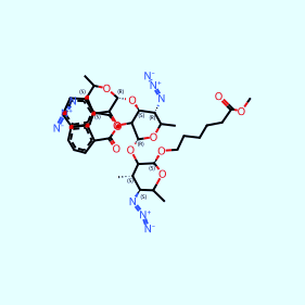 COC(=O)CCCCCO[C@H]1OC(C)[C@@H](N=[N+]=[N-])[C@H](C)C1O[C@H]1OC(C)[C@@H](N=[N+]=[N-])[C@H](O[C@H]2OC(C)[C@@H](N=[N+]=[N-])[C@H](C)C2OC(=O)c2ccccc2)C1OCc1ccccc1